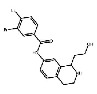 CCc1ccc(C(=O)Nc2ccc3c(c2)C(CCO)NCC3)cc1Br